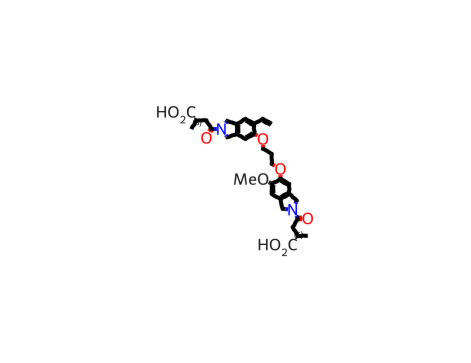 C=Cc1cc2c(cc1OCCCOc1cc3c(cc1OC)CN(C(=O)C[C@H](C)C(=O)O)C3)CN(C(=O)C[C@H](C)C(=O)O)C2